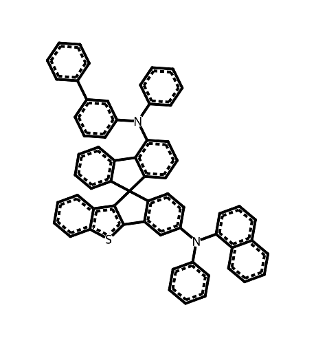 c1ccc(-c2cccc(N(c3ccccc3)c3cccc4c3-c3ccccc3C43c4ccc(N(c5ccccc5)c5cccc6ccccc56)cc4-c4sc5ccccc5c43)c2)cc1